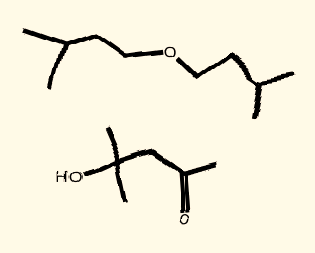 CC(=O)CC(C)(C)O.CC(C)CCOCCC(C)C